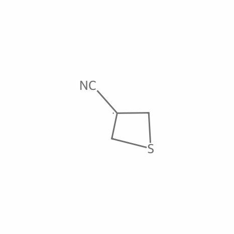 N#C[C]1CSC1